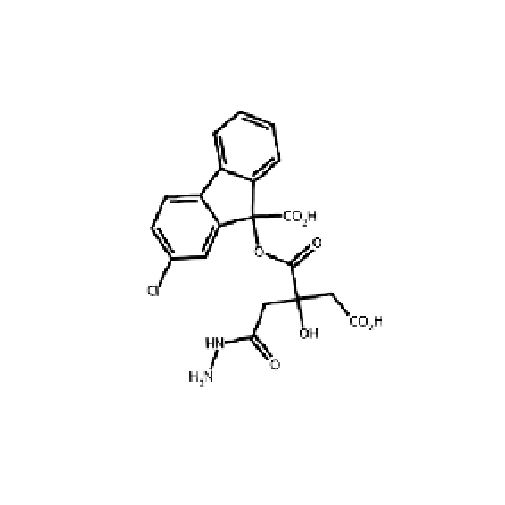 NNC(=O)CC(O)(CC(=O)O)C(=O)OC1(C(=O)O)c2ccccc2-c2ccc(Cl)cc21